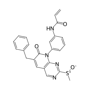 C=CC(=O)Nc1cccc(-n2c(=O)c(Cc3ccccc3)cc3cnc([S+](C)[O-])nc32)c1